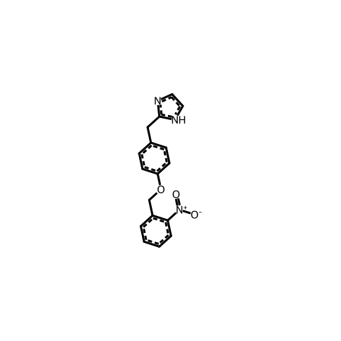 O=[N+]([O-])c1ccccc1COc1ccc(Cc2ncc[nH]2)cc1